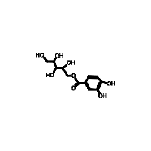 O=C(OCC(O)C(O)C(O)CO)c1ccc(O)c(O)c1